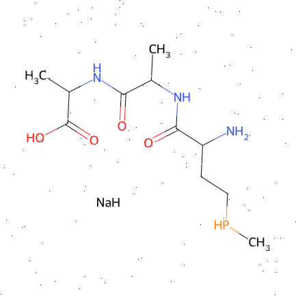 CPCCC(N)C(=O)NC(C)C(=O)NC(C)C(=O)O.[NaH]